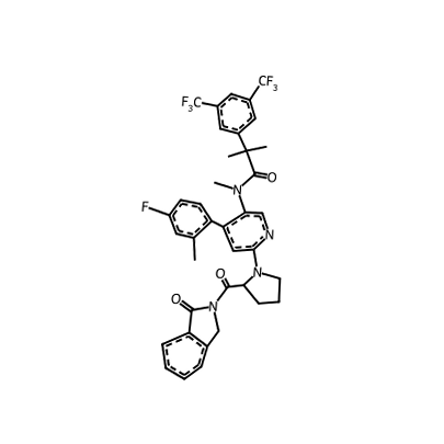 Cc1cc(F)ccc1-c1cc(N2CCCC2C(=O)N2Cc3ccccc3C2=O)ncc1N(C)C(=O)C(C)(C)c1cc(C(F)(F)F)cc(C(F)(F)F)c1